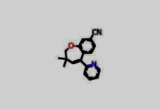 CC1(C)C=C(c2ccccn2)c2ccc(C#N)cc2OC1